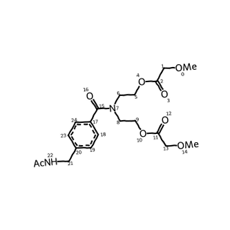 COCC(=O)OCCN(CCOC(=O)COC)C(=O)c1ccc(CNC(C)=O)cc1